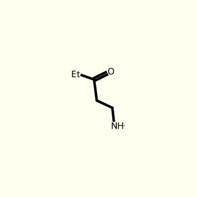 CCC(=O)CC[NH]